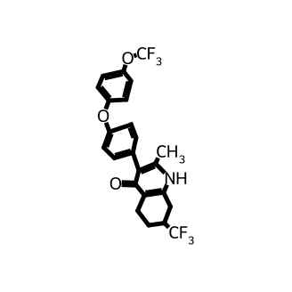 Cc1[nH]c2c(c(=O)c1-c1ccc(Oc3ccc(OC(F)(F)F)cc3)cc1)CCC(C(F)(F)F)C2